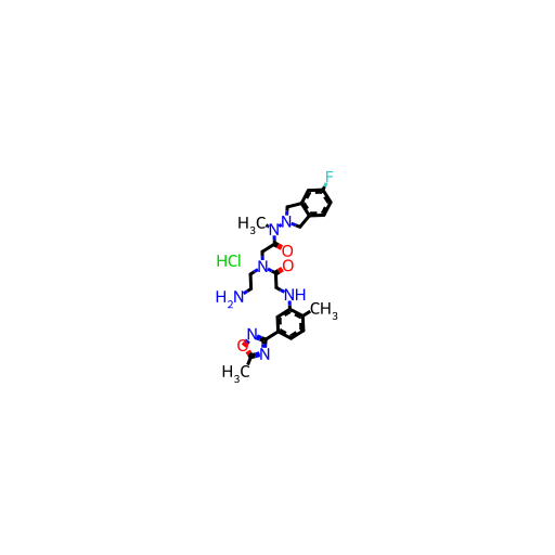 Cc1nc(-c2ccc(C)c(NCC(=O)N(CCN)CC(=O)N(C)N3Cc4ccc(F)cc4C3)c2)no1.Cl